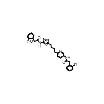 COc1ccccc1CC(=O)Nc1nnc(CCCCc2ccc(NC(=O)Cc3ccccc3Cl)cn2)s1